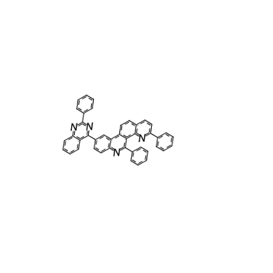 c1ccc(-c2ccc3ccc4c5cc(-c6nc(-c7ccccc7)nc7ccccc67)ccc5nc(-c5ccccc5)c4c3n2)cc1